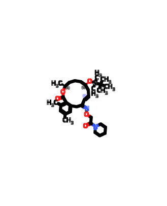 Cc1cc(C)c2c(c1)CC(=NOCC(=O)N1CCCCC1)/C=C/C[C@@H](O[Si](C)(C)C(C)(C)C)CCC[C@@H](C)OC2=O